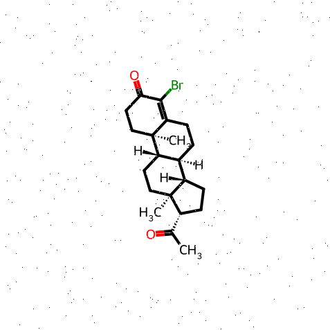 CC(=O)[C@H]1CC[C@H]2[C@@H]3CCC4=C(Br)C(=O)CC[C@]4(C)[C@H]3CC[C@]12C